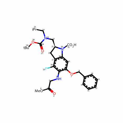 COC(=O)CNc1c(OCc2ccccc2)cc2c(c1F)C[C@@H](CN(CC(C)C)C(=O)OC(C)(C)C)N2C(=O)O